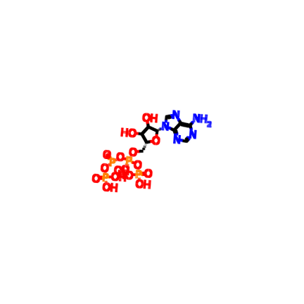 Nc1ncnc2c1ncn2[C@@H]1O[C@H](COP(=O)(OP(=O)(O)O)OP(=O)(O)OP(=O)(O)O)C(O)C1O